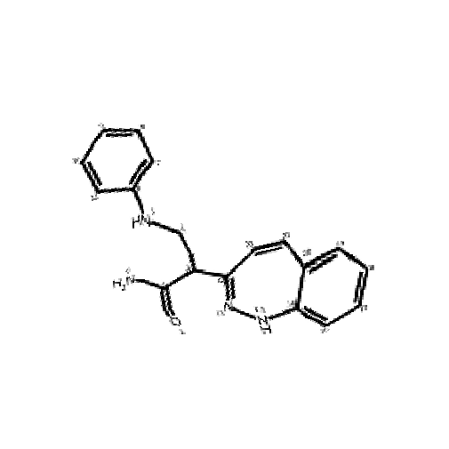 NC(=O)C(CNc1ccccc1)C1=NNc2ccccc2C=C1